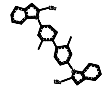 Cc1cc(-n2c(C(C)(C)C)cc3ccccc32)ccc1-c1ccc(-n2c(C(C)(C)C)cc3ccccc32)cc1C